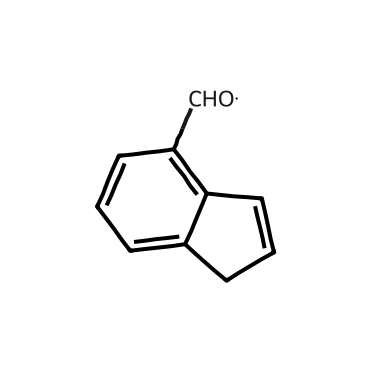 O=[C]c1cccc2c1C=CC2